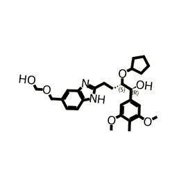 COc1cc([C@@H](O)[C@H](CCc2nc3cc(COCO)ccc3[nH]2)OC2CCCC2)cc(OC)c1C